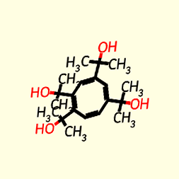 CC(C)(O)C1=C(C(C)(C)O)/C=C(C(C)(C)O)\C=C(C(C)(C)O)/C=C\1